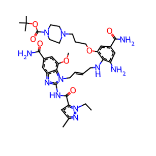 CCn1nc(C)cc1C(=O)Nc1nc2cc(C(N)=O)cc(OC)c2n1C/C=C/CNc1c(N)cc(C(N)=O)cc1OCCCN1CCN(C(=O)OC(C)(C)C)CC1